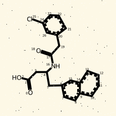 O=C(O)CC(Cc1ccc2ccccc2c1)NC(=O)Cc1cccc(Cl)c1